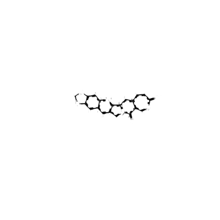 O=c1ccc2cc3c4nc5cc6c(cc5cc4cn3c(=O)c2co1)OCO6